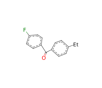 CCc1ccc(C(=O)c2ccc(F)cc2)cc1